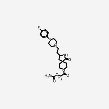 C[C@@H](OC(N)=O)C(=O)N1CCC2(CC1)CC(CCN1CCN(c3ccc(F)cc3)CC1)NC2=O